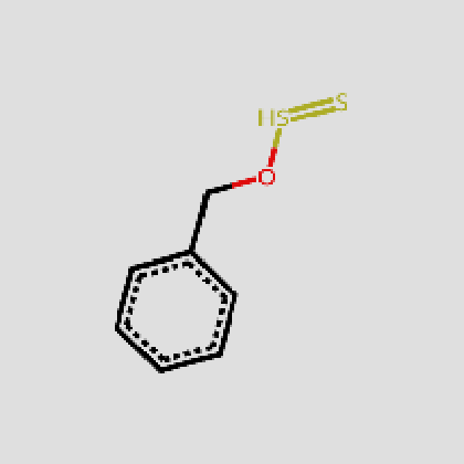 S=[SH]OCc1ccccc1